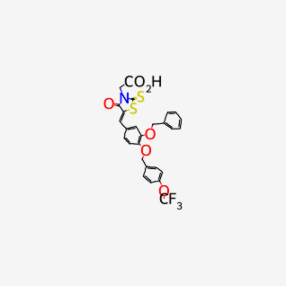 O=C(O)CN1C(=O)C(=Cc2ccc(OCc3ccc(OC(F)(F)F)cc3)c(OCc3ccccc3)c2)SC1=S